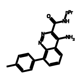 CCCNC(=O)c1nnc2c(-c3ccc(C)cc3)cccc2c1N